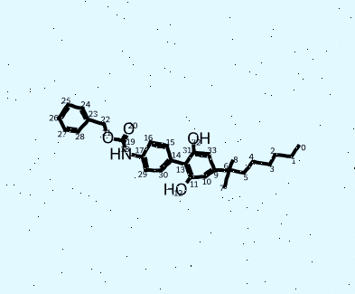 CCCCCCC(C)(C)c1cc(O)c(-c2ccc(NC(=O)OCc3ccccc3)cc2)c(O)c1